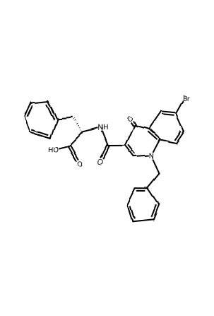 O=C(N[C@@H](Cc1ccccc1)C(=O)O)c1cn(Cc2ccccc2)c2ccc(Br)cc2c1=O